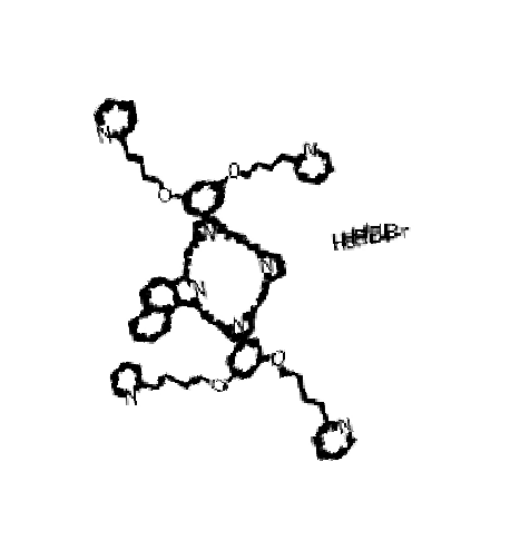 Br.Br.Br.Br.C1=Cc2cc3ccc(cc4nc(cc5ccc(cc1n2)n5-c1cc(OCCCCc2ccccn2)cc(OCCCCc2ccccn2)c1)-c1ccc2ccccc2c1-4)n3-c1cc(OCCCCc2ccccn2)cc(OCCCCc2ccccn2)c1